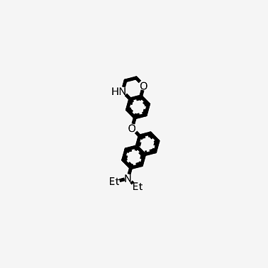 CCN(CC)c1ccc2c(Oc3ccc4c(c3)NCCO4)cccc2c1